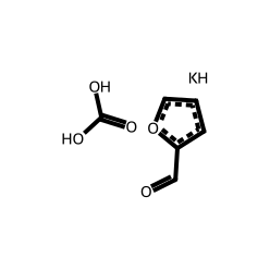 O=C(O)O.O=Cc1ccco1.[KH]